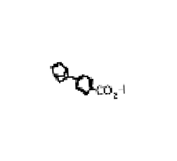 O=C(O)c1ccc(C2CC3C=CC2C3)cc1